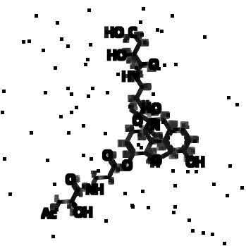 CC(=O)C[C@H](O)C(=O)NCCC(=O)OC1=CC[C@@]2(OC(=O)CCNC(=O)[C@@H](O)CC(=O)O)[C@H]3Cc4ccc(O)c5c4[C@@]2(CCN3C)[C@H]1O5